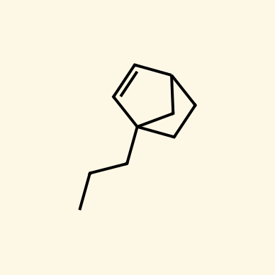 CCCC12C=CC(CC1)C2